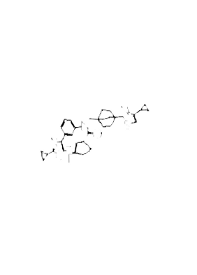 O=C([C@H]1CCC(F)(F)C1)N(CC12CCC(c3nc(C4CC4)cs3)(CC1)CC2)c1cccc(-c2coc(C3CC3)n2)c1